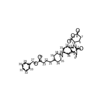 Cn1c(=O)n(C2CCC(=O)OC2=O)c2ccc(N3CCC(CCCC(=O)OCc4ccccc4)CC3)cc21